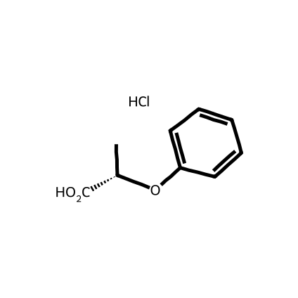 C[C@H](Oc1ccccc1)C(=O)O.Cl